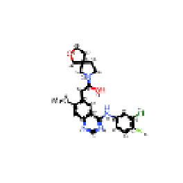 COc1cc2ncnc(Nc3ccc(F)c(Cl)c3)c2cc1CC(O)N1CCC2(CCOC2)C1